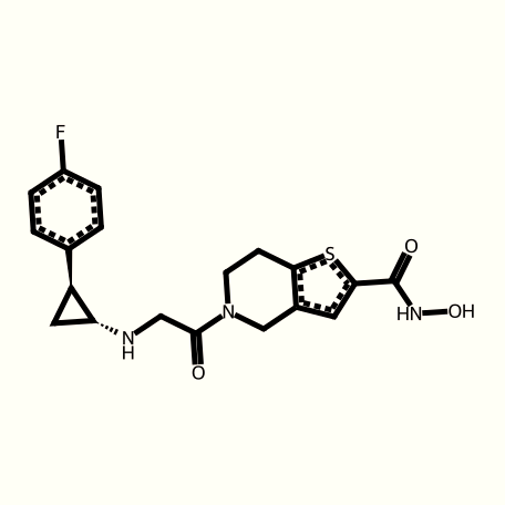 O=C(NO)c1cc2c(s1)CCN(C(=O)CN[C@@H]1C[C@H]1c1ccc(F)cc1)C2